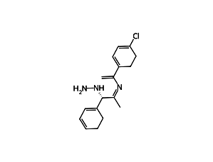 C=C(/N=C(/C)[C@@H](NN)C1=CC=CCC1)C1=CC=C(Cl)CC1